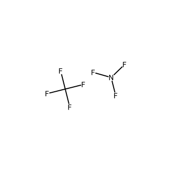 FC(F)(F)F.FN(F)F